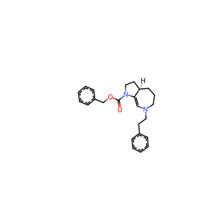 O=C(OCc1ccccc1)N1CC[C@H]2CCCN(CCc3ccccc3)C=C21